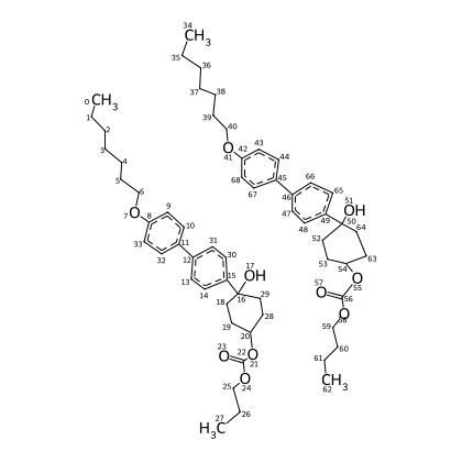 CCCCCCCOc1ccc(-c2ccc(C3(O)CCC(OC(=O)OCCC)CC3)cc2)cc1.CCCCCCCOc1ccc(-c2ccc(C3(O)CCC(OC(=O)OCCCC)CC3)cc2)cc1